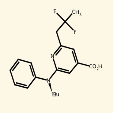 CC[C@H](C)N(c1ccccc1)c1cc(C(=O)O)cc(CC(C)(F)F)n1